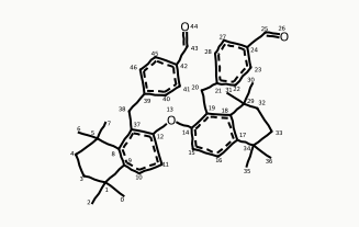 CC1(C)CCC(C)(C)c2c1ccc(Oc1ccc3c(c1Cc1ccc(C=O)cc1)C(C)(C)CCC3(C)C)c2Cc1ccc(C=O)cc1